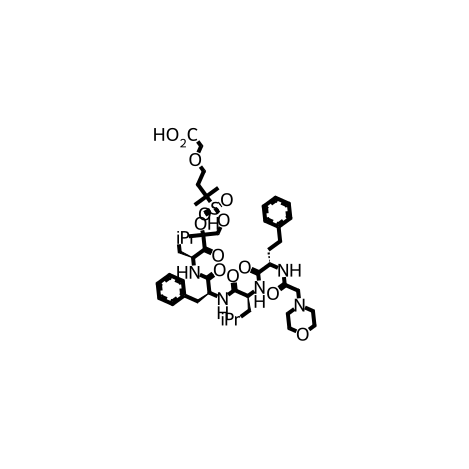 CC(C)C[C@H](NC(=O)[C@H](CCc1ccccc1)NC(=O)CN1CCOCC1)C(=O)N[C@@H](Cc1ccccc1)C(=O)N[C@@H](CC(C)C)C(=O)C(C)(O)COS(=O)(=O)C(C)(C)CCOCC(=O)O